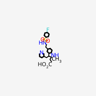 CC1(CCC(=O)O)Nc2ccc(CCNS(=O)(=O)c3ccc(F)cc3)cc2C1Cc1cccnc1